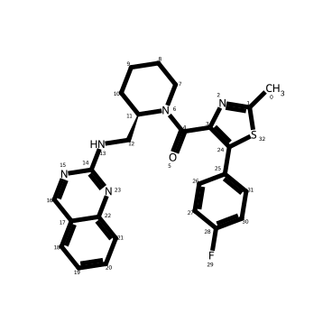 Cc1nc(C(=O)N2CCCC[C@@H]2CNc2ncc3ccccc3n2)c(-c2ccc(F)cc2)s1